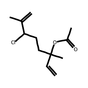 C=CC(C)(CCC(Cl)C(=C)C)OC(C)=O